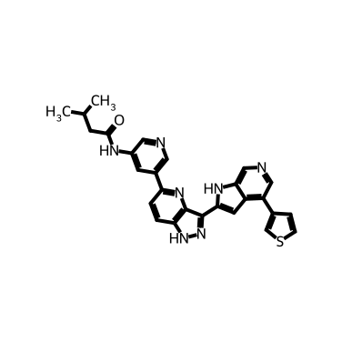 CC(C)CC(=O)Nc1cncc(-c2ccc3[nH]nc(-c4cc5c(-c6ccsc6)cncc5[nH]4)c3n2)c1